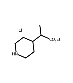 CCOC(=O)C(C)C1CCNCC1.Cl